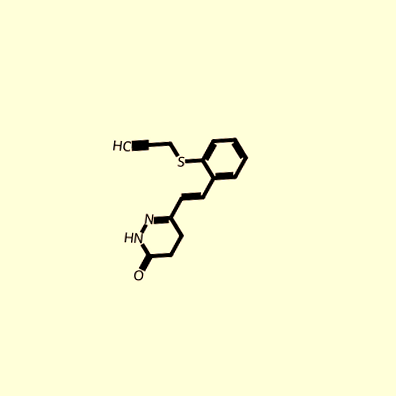 C#CCSc1ccccc1C=CC1=NNC(=O)CC1